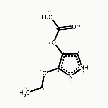 CCOc1n[nH]cc1OC(C)=O